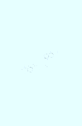 CN(C(=O)O[C@@H]1CCC[C@H](NCCn2c(=O)ccc3ncc(OC(F)F)cc32)C1)c1ccc2c(n1)NC(=O)CO2